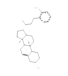 COc1cccnc1CCC(C)[C@H]1CC[C@H]2[C@@H]3CC=C4C[C@@H](O)CC[C@]4(C)[C@H]3CC[C@]12C